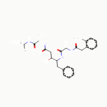 CC[C@H](C)[C@H](NC(=O)CC(O)C(Cc1ccccc1)NC(=O)[C@@H](NC(=O)Cc1ccccc1OC)C(C)C)C(=O)N[C@H](C(=O)O)C(C)C